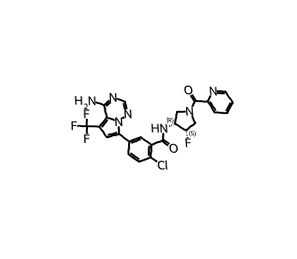 Nc1ncnn2c(-c3ccc(Cl)c(C(=O)N[C@@H]4CN(C(=O)c5ccccn5)C[C@@H]4F)c3)cc(C(F)(F)F)c12